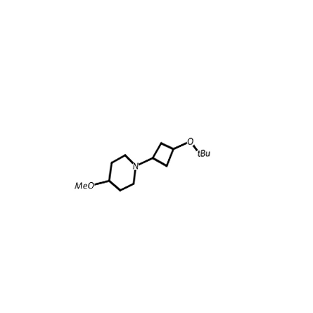 COC1CCN(C2CC(OC(C)(C)C)C2)CC1